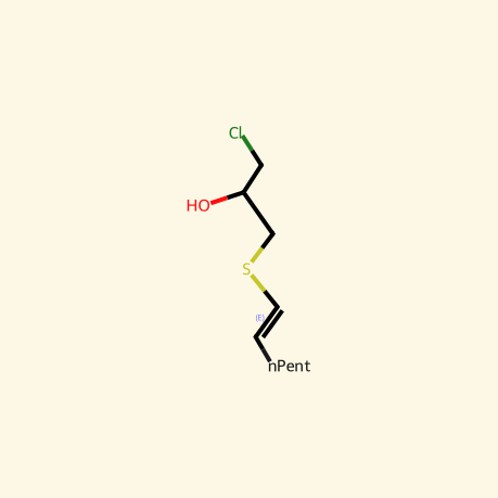 CCCCC/C=C/SCC(O)CCl